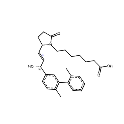 Cc1ccccc1-c1cc([C@H](O)/C=C/C2CCC(=O)N2CCCCCCC(=O)O)ccc1C